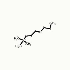 CCCOCCC[N+](C)(C)C